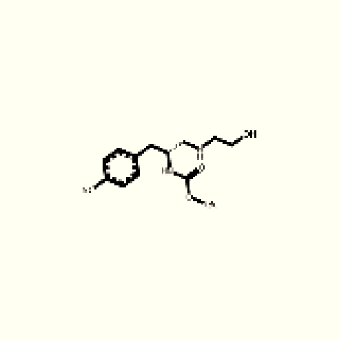 CC(C)(C)OC(=O)N[C@@H](CNCCO)Cc1ccc(C#N)cc1